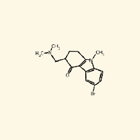 CN(C)CC1CCc2c(c3cc(Br)ccc3n2C)C1=O